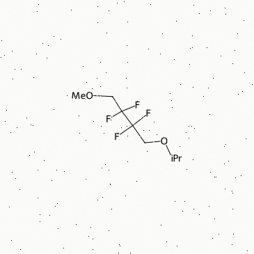 COCC(F)(F)C(F)(F)COC(C)C